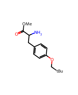 COC(=O)C(N)Cc1ccc(OCC(C)(C)C)cc1